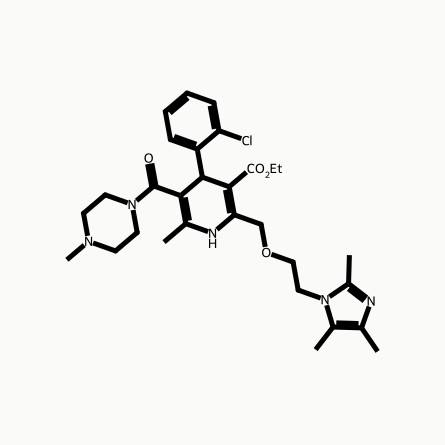 CCOC(=O)C1=C(COCCn2c(C)nc(C)c2C)NC(C)=C(C(=O)N2CCN(C)CC2)C1c1ccccc1Cl